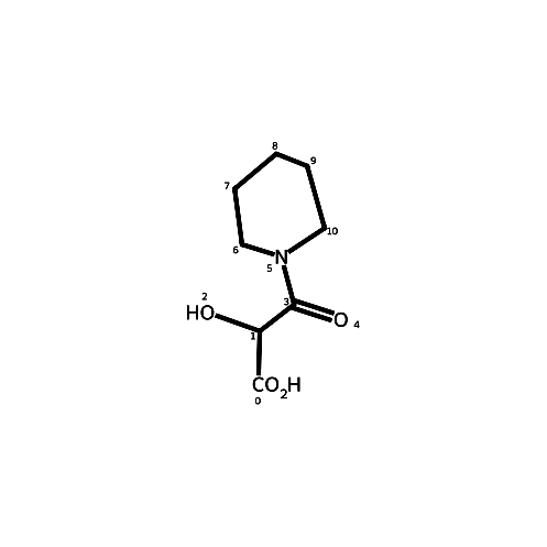 O=C(O)C(O)C(=O)N1CCCCC1